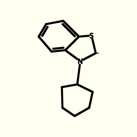 [CH]1Sc2ccccc2N1C1CCCCC1